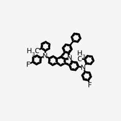 Cc1ccccc1N(c1ccc(F)cc1)c1ccc2cc3c4ccc(N(c5ccc(F)cc5)c5ccccc5C)cc4n4c5cc(-c6ccccc6)ccc5c(c2c1)c34